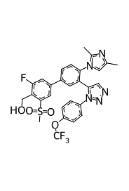 Cc1cn(-c2ccc(-c3cc(F)c(CO)c(S(C)(=O)=O)c3)cc2-c2cnnn2-c2ccc(OC(F)(F)F)cc2)c(C)n1